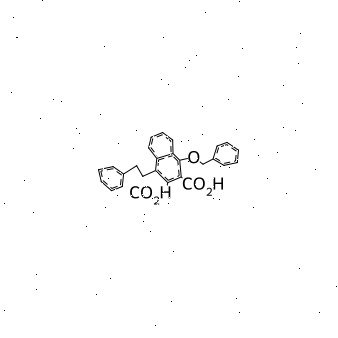 O=C(O)c1c(C(=O)O)c(OCc2ccccc2)c2ccccc2c1CCc1ccccc1